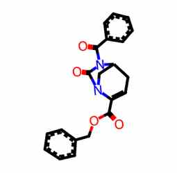 O=C(OCc1ccccc1)C1=CCC2CN1C(=O)N2C(=O)c1ccccc1